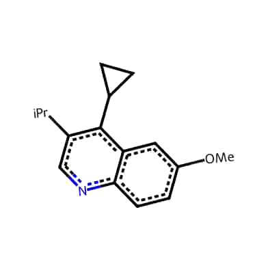 COc1ccc2ncc(C(C)C)c(C3CC3)c2c1